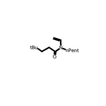 C=CN(CCCCC)C(=O)CCC(C)(C)C